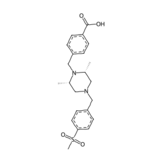 C[C@@H]1CN(Cc2ccc(S(C)(=O)=O)cc2)C[C@H](C)N1Cc1ccc(C(=O)O)cc1